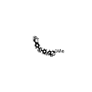 COC(=O)C[C@@H]1C[C@@H](c2ccc(-c3noc(-c4ccc(CC(C)C)cc4)n3)cc2)NC1=O